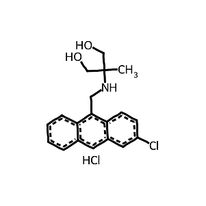 CC(CO)(CO)NCc1c2ccccc2cc2cc(Cl)ccc12.Cl